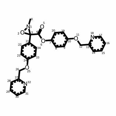 CN1OC1(C(=O)Oc1ccc(OCc2ccccn2)cc1)c1ccc(OCc2ccccn2)cc1